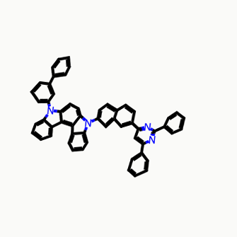 c1ccc(-c2cccc(-n3c4ccccc4c4c5c6ccccc6n(-c6ccc7ccc(-c8cc(-c9ccccc9)nc(-c9ccccc9)n8)cc7c6)c5ccc43)c2)cc1